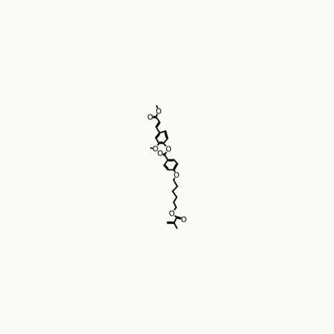 C=C(C)C(=O)OCCCCCCOc1ccc(C(=O)Oc2ccc(C=CC(=O)OC)cc2OC)cc1